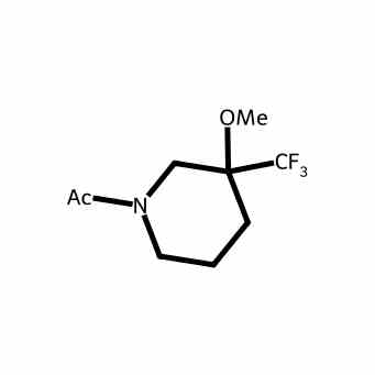 COC1(C(F)(F)F)CCCN(C(C)=O)C1